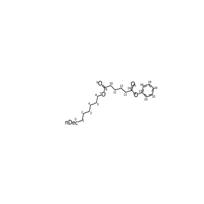 CCCCCCCCCCCCCCCCOC(=O)CCCCC(=O)Oc1ccccc1